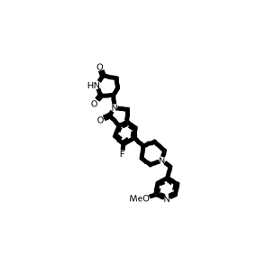 COc1cc(CN2CCC(c3cc4c(cc3F)C(=O)N(C3CCC(=O)NC3=O)C4)CC2)ccn1